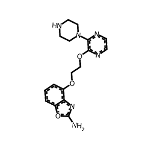 Nc1nc2c(OCCOc3nccnc3N3CCNCC3)cccc2o1